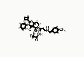 O=C(CCNCc1ccc(C(F)(F)F)cc1)N1CCc2nc(C3CCC3)n(-c3ccccc3)c(=O)c2C1S.O=C(O)C(F)(F)F